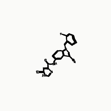 N#Cc1cn(Cc2ccccc2F)c2ccc(NC(=O)c3cc(=O)[nH]cn3)cc12